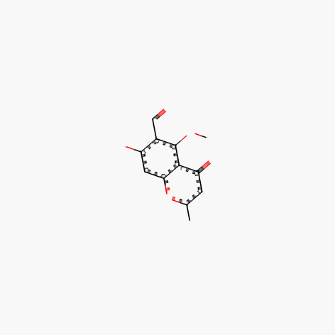 COc1c(C=O)c(O)cc2oc(C)cc(=O)c12